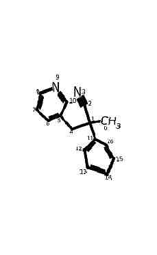 CC(C#N)(Cc1cccnc1)c1ccccc1